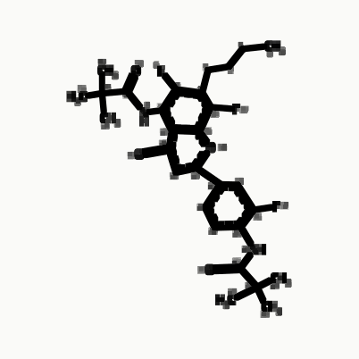 CCCCc1c(F)c(NC(=O)C(C)(C)C)c2c(=O)cc(-c3ccc(NC(=O)C(C)(C)C)c(F)c3)oc2c1F